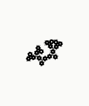 c1ccc(N(c2ccc(-c3ccc(N(c4ccccc4)c4ccc(N(c5ccc6c(c5)C5(CCCCC5)c5ccccc5-6)c5ccc6c(c5)C5(CCCCC5)c5ccccc5-6)cc4)cc3)cc2)c2ccc(N(c3ccc4c(c3)C3(CCCCC3)c3ccccc3-4)c3ccc4c(c3)C3(CCCCC3)c3ccccc3-4)cc2)cc1